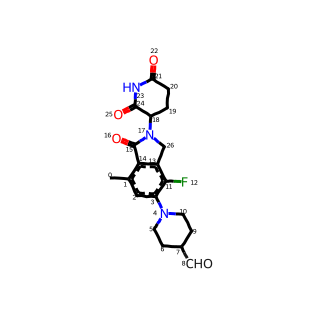 Cc1cc(N2CCC(C=O)CC2)c(F)c2c1C(=O)N(C1CCC(=O)NC1=O)C2